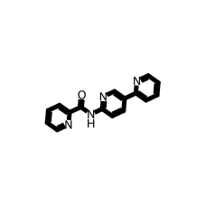 O=C(Nc1ccc(-c2ccccn2)cn1)c1ccccn1